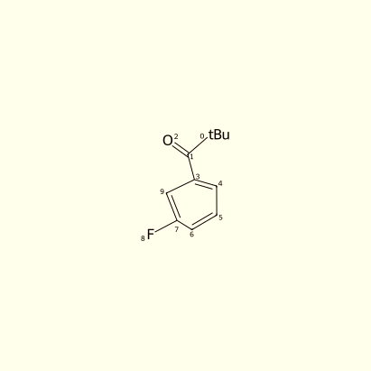 [CH2]C(C)(C)C(=O)c1cccc(F)c1